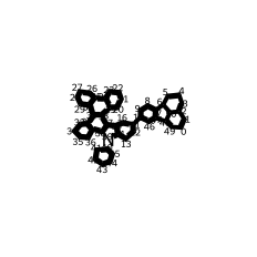 C1=CC2=CC=CC3c4ccc(-c5ccc6c(c5)c5c7c8ccccc8c8ccccc8c7c7ccccc7c5n6-c5ccccc5)cc4C(=C1)C23